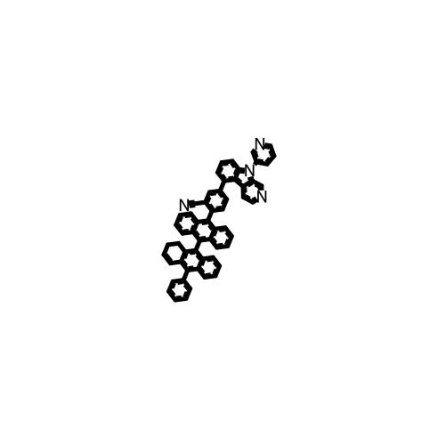 N#Cc1cc(-c2cccc3c2c2ccncc2n3-c2cccnc2)ccc1-c1c2ccccc2c(-c2c3c(c(-c4ccccc4)c4ccccc24)C=CCC3)c2ccccc12